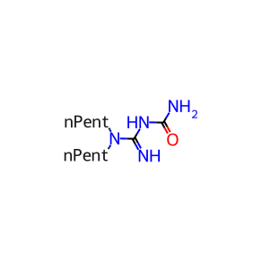 CCCCCN(CCCCC)C(=N)NC(N)=O